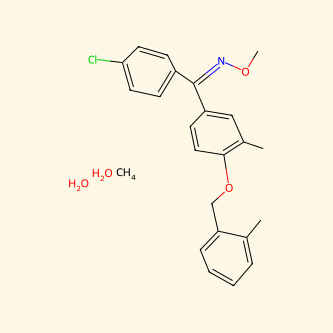 C.CON=C(c1ccc(Cl)cc1)c1ccc(OCc2ccccc2C)c(C)c1.O.O